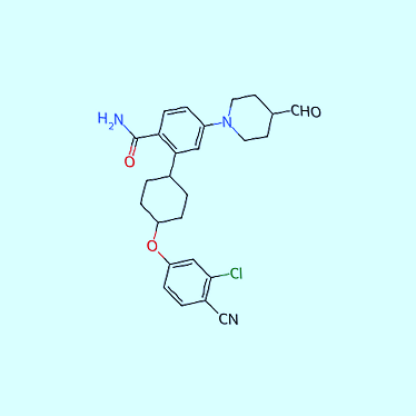 N#Cc1ccc(OC2CCC(c3cc(N4CCC(C=O)CC4)ccc3C(N)=O)CC2)cc1Cl